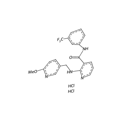 COc1ccc(CNc2ncccc2C(=O)Nc2cccc(C(F)(F)F)c2)cn1.Cl.Cl